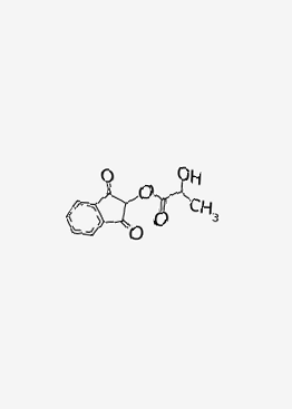 CC(O)C(=O)OC1C(=O)c2ccccc2C1=O